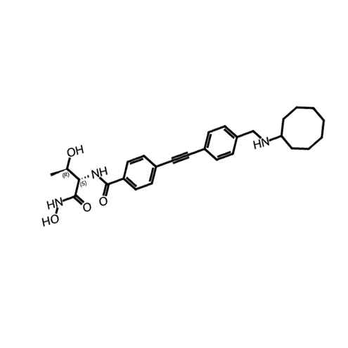 C[C@@H](O)[C@H](NC(=O)c1ccc(C#Cc2ccc(CNC3CCCCCCC3)cc2)cc1)C(=O)NO